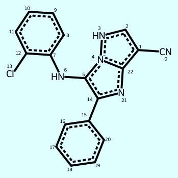 N#Cc1c[nH]n2c(Nc3ccccc3Cl)c(-c3ccccc3)nc12